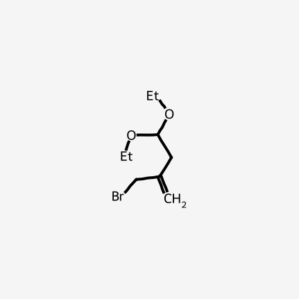 C=C(CBr)CC(OCC)OCC